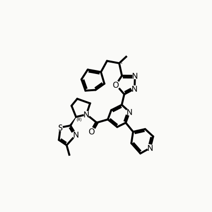 C[C](Cc1ccccc1)c1nnc(-c2cc(C(=O)N3CCC[C@@H]3c3nc(C)cs3)cc(-c3ccncc3)n2)o1